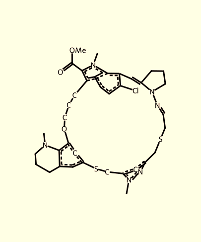 COC(=O)c1c2c3ccc(Cl)c(c3n1C)/C=C1\CCCN1/N=C/CSCc1cc(n(C)n1)CSc1cc3c(c(c1)OCCC2)N(C)CCC3